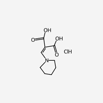 Cl.O=C(O)C(=CN1CCCCC1)C(=O)O